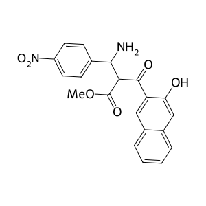 COC(=O)C(C(=O)c1cc2ccccc2cc1O)C(N)c1ccc([N+](=O)[O-])cc1